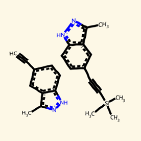 C#Cc1ccc2[nH]nc(C)c2c1.Cc1n[nH]c2ccc(C#C[Si](C)(C)C)cc12